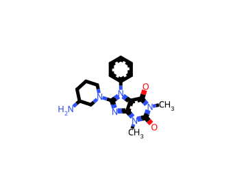 Cn1c(=O)c2c(nc(N3CCCC(N)C3)n2-c2ccccc2)n(C)c1=O